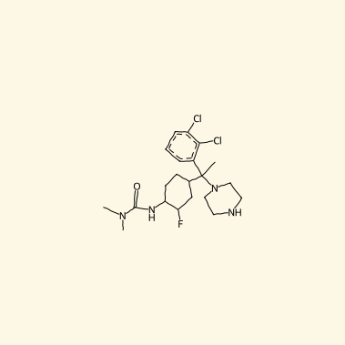 CN(C)C(=O)NC1CCC(C(C)(c2cccc(Cl)c2Cl)N2CCNCC2)CC1F